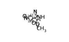 CCOC(=O)c1c[nH]c(C#N)c1-c1ccc(N=O)cc1